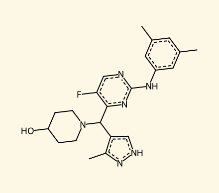 Cc1cc(C)cc(Nc2ncc(F)c(C(c3c[nH]nc3C)N3CCC(O)CC3)n2)c1